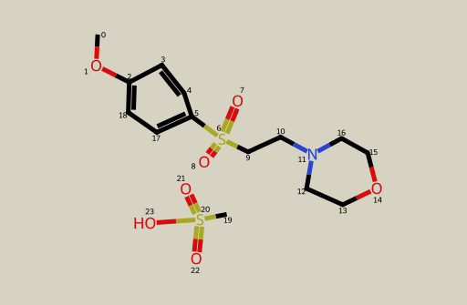 COc1ccc(S(=O)(=O)CCN2CCOCC2)cc1.CS(=O)(=O)O